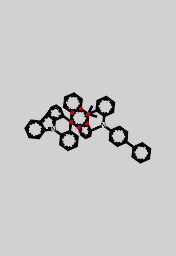 C[Si]1(C)c2ccccc2C2(c3ccccc3-n3c4ccccc4c4cccc2c43)c2cccc(N(c3ccc(-c4ccccc4)cc3)c3ccccc3-c3ccccc3)c21